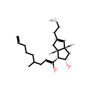 C=CCCCC(C)CC=C(O)[C@H]1[C@@H]2CC(CCC(=O)O)=C[C@@H]2C[C@@H]1O